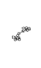 CCN1C(=O)C(C)(C)C(=O)N(C)c2cc(OCCCN(CCn3ccc4ccoc4c3=O)Cc3ccccc3C)ccc21